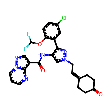 O=C1CCC(=CCn2cc(NC(=O)c3cnn4cccnc34)c(-c3cc(Cl)ccc3OC(F)F)n2)CC1